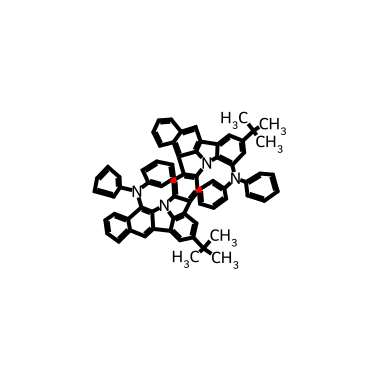 CC(C)(C)c1cc(N(c2ccccc2)c2ccccc2)c2c(c1)c1cc3ccccc3c3c4cc5c(cc4n2c13)c1cc(C(C)(C)C)cc2c3cc4ccccc4c(N(c4ccccc4)c4ccccc4)c3n5c12